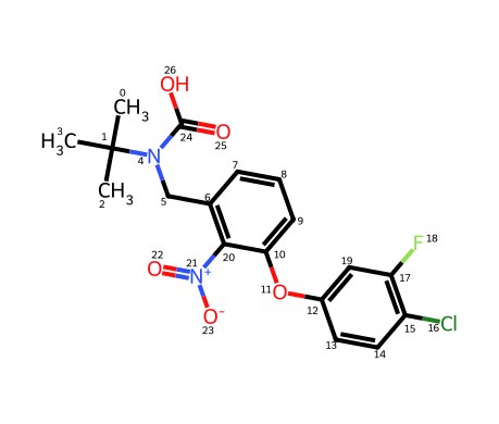 CC(C)(C)N(Cc1cccc(Oc2ccc(Cl)c(F)c2)c1[N+](=O)[O-])C(=O)O